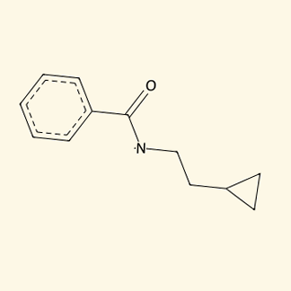 O=C([N]CCC1CC1)c1ccccc1